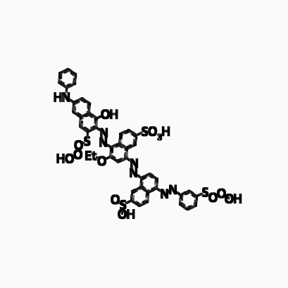 CCOc1cc(N=Nc2ccc(N=Nc3cccc(SOOO)c3)c3ccc(S(=O)O)cc23)c2cc(S(=O)(=O)O)ccc2c1N=Nc1c(SOOO)cc2cc(Nc3ccccc3)ccc2c1O